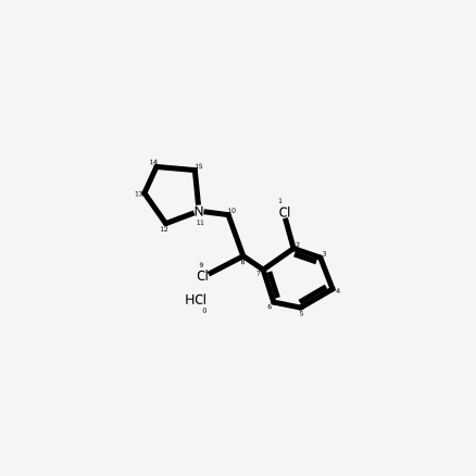 Cl.Clc1ccccc1C(Cl)CN1CCCC1